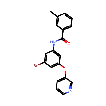 Cc1cccc(C(=O)Nc2cc(Br)cc(Oc3cccnc3)c2)c1